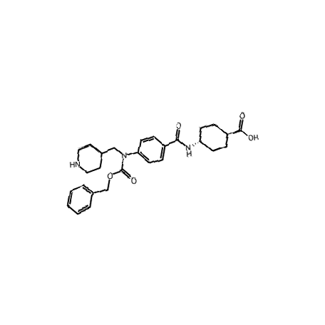 O=C(N[C@H]1CC[C@H](C(=O)O)CC1)c1ccc(N(CC2CCNCC2)C(=O)OCc2ccccc2)cc1